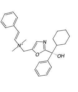 C[N+](C)(C=Cc1ccccc1)Cc1cnc([C@](O)(c2ccccc2)C2CCCCC2)o1